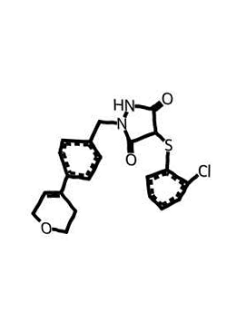 O=C1NN(Cc2ccc(C3=CCOCC3)cc2)C(=O)C1Sc1ccccc1Cl